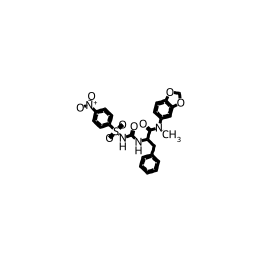 CN(C(=O)C(Cc1ccccc1)NC(=O)NS(=O)(=O)c1ccc([N+](=O)[O-])cc1)c1ccc2c(c1)OCO2